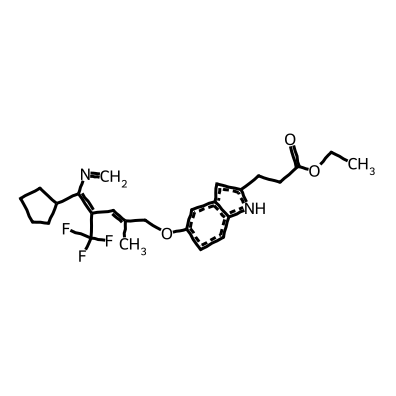 C=N/C(=C(\C=C(/C)COc1ccc2[nH]c(CCC(=O)OCC)cc2c1)C(F)(F)F)C1CCCC1